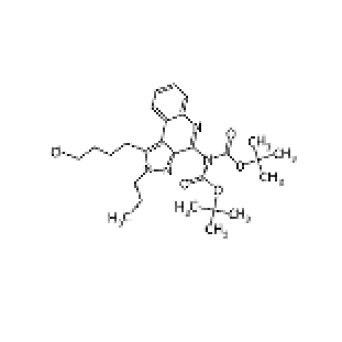 CCCn1nc2c(N(C(=O)OC(C)(C)C)C(=O)OC(C)(C)C)nc3ccccc3c2c1CCCCCl